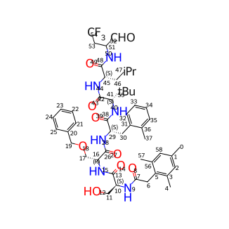 Cc1cc(C)c(CC(=O)N[C@@H](CO)C(=O)N[C@H](COCc2ccccc2)C(=O)N[C@@H](Cc2ccccc2C)C(=O)N[C@H](C(=O)N[C@@H](CC(C)C)C(=O)NC(C=O)CC(F)(F)F)C(C)(C)C)c(C)c1